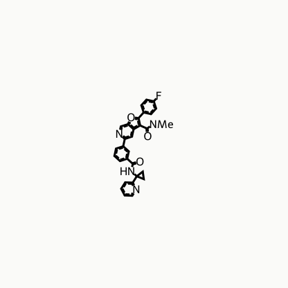 CNC(=O)c1c(-c2ccc(F)cc2)oc2cnc(-c3cccc(C(=O)NC4(c5ccccn5)CC4)c3)cc12